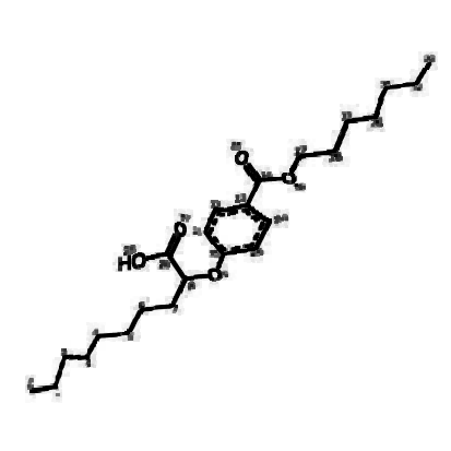 CCCCCCCCC(Oc1ccc(C(=O)OCCCCCCC)cc1)C(=O)O